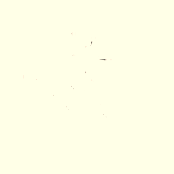 Cc1nc(NCC(F)(F)F)nc(N[C@@H]2C[C@H](CO)[C@@H](O)[C@H]2O)c1-c1nc2cc(CO)ccc2s1